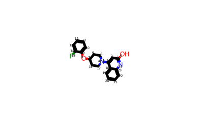 Oc1cc(N2CCC(Oc3ccccc3F)CC2)c2ccccc2n1